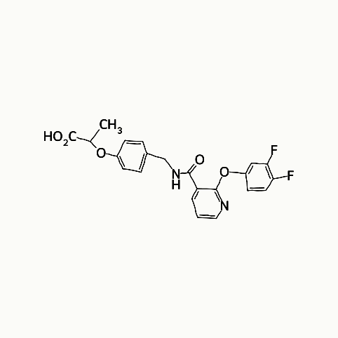 CC(Oc1ccc(CNC(=O)c2cccnc2Oc2ccc(F)c(F)c2)cc1)C(=O)O